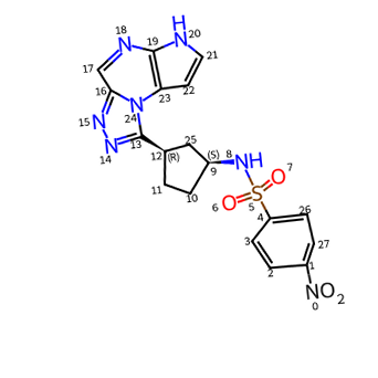 O=[N+]([O-])c1ccc(S(=O)(=O)N[C@H]2CC[C@@H](c3nnc4cnc5[nH]ccc5n34)C2)cc1